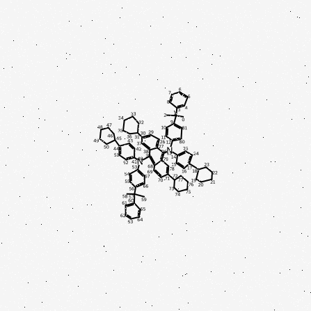 CC(C)(c1ccccc1)c1ccc(N(c2ccc(C3CCCCC3)cc2)c2c3ccc(C4CCCCC4)cc3c(N(c3ccc(C4CCCCC4)cc3)c3ccc(C(C)(C)c4ccccc4)cc3)c3ccc(C4CCCCC4)cc23)cc1